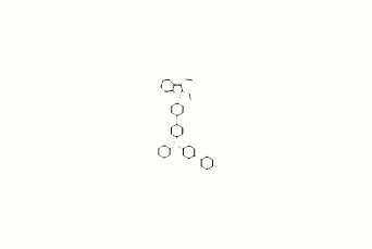 C=Cc1c(/C=C\C)c2ccccc2n1-c1ccc(-c2ccc(N(c3ccccc3)c3ccc(-c4ccccc4)cc3)cc2)cc1